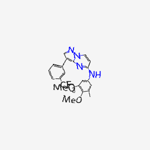 COc1cc(Nc2ccn3ncc(-c4cccc(C(F)(F)F)c4)c3n2)cc(C)c1OC